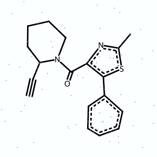 C#CC1CCCCN1C(=O)c1nc(C)sc1-c1ccccc1